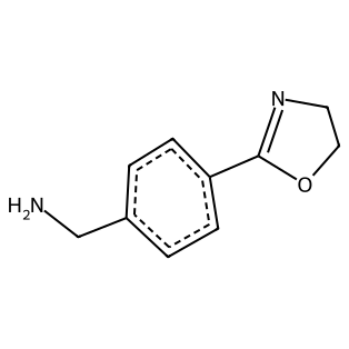 NCc1ccc(C2=NCCO2)cc1